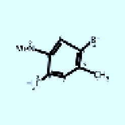 CNc1cc(Br)c(C)cc1C